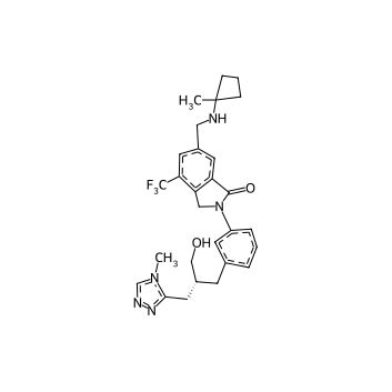 Cn1cnnc1C[C@H](CO)Cc1cccc(N2Cc3c(cc(CNC4(C)CCC4)cc3C(F)(F)F)C2=O)c1